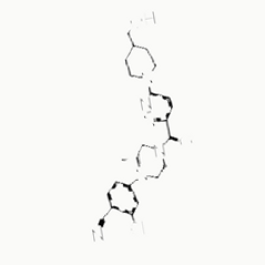 C[C@@H]1CN(c2ccc(C#N)c(Cl)c2)[C@@H](C)CN1C(=O)c1ccc(N2CCC(CO)CC2)nn1